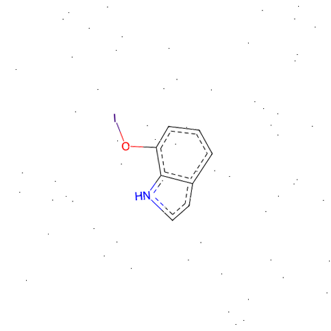 IOc1cccc2cc[nH]c12